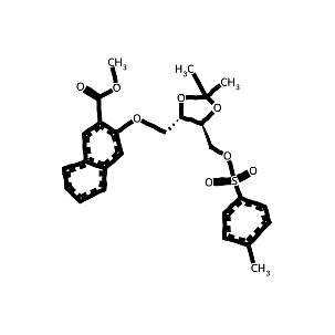 COC(=O)c1cc2ccccc2cc1OC[C@@H]1OC(C)(C)O[C@H]1COS(=O)(=O)c1ccc(C)cc1